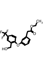 CCOC(=O)Cc1cccc(Oc2ccc(C(F)(F)F)cc2CO)c1